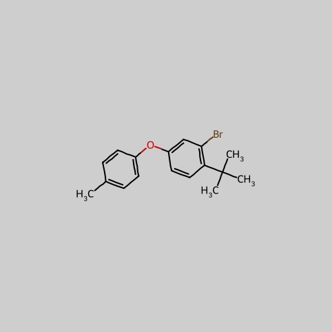 Cc1ccc(Oc2ccc(C(C)(C)C)c(Br)c2)cc1